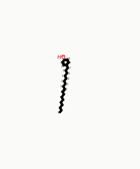 CCCCCCCCC=CCCCCCCCCc1ccc(O)cc1